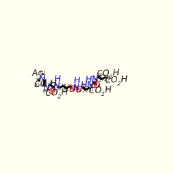 CC(=O)CN(CCN(CC(=O)O)CC(=O)NCCCCONOCCC(NC(=O)NC(CCC(=O)O)C(=O)O)C(=O)O)CC(=O)O